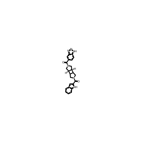 O=C(c1ccc2[nH]nnc2c1)N1C[C@@H]2C3CN(C(=O)c4cc5ccccc5[nH]4)CC3[C@@H]2C1